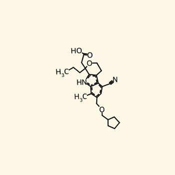 CCCC1(CC(=O)O)OCCc2c1[nH]c1c(C)c(COCC3CCCC3)cc(C#N)c21